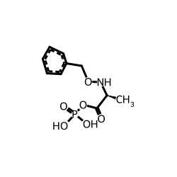 C[C@H](NOCc1ccccc1)C(=O)OP(=O)(O)O